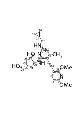 COc1ccc(C#Cc2c(C)nc(NCC3CC3)nc2N[C@@H]2C[C@H](CO)C[C@H]2O)c(OC)n1